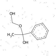 CC(O)(OCO)c1ccccc1